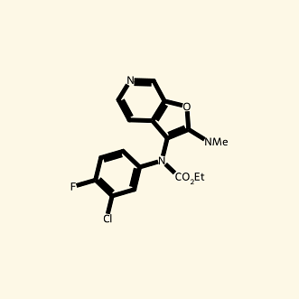 CCOC(=O)N(c1ccc(F)c(Cl)c1)c1c(NC)oc2cnccc12